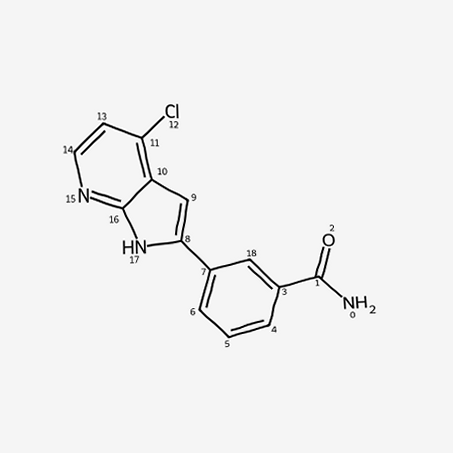 NC(=O)c1cccc(-c2cc3c(Cl)ccnc3[nH]2)c1